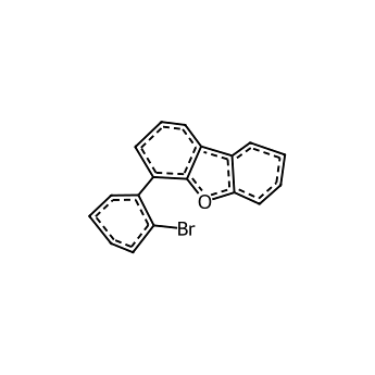 Brc1ccccc1-c1cccc2c1oc1ccccc12